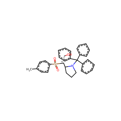 Cc1ccc(S(=O)(=O)[C@H](CO)C2CCCN2C(c2ccccc2)(c2ccccc2)c2ccccc2)cc1